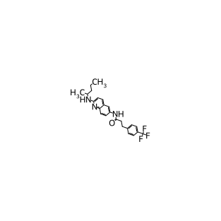 CCCC(C)Nc1ccc2cc(NC(=O)CCc3ccc(C(F)(F)F)cc3)ccc2n1